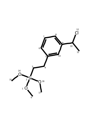 CO[Si](CCc1cccc(C(C)Cl)c1)(OC)OC